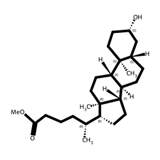 COC(=O)CCC[C@@H](C)[C@H]1CC[C@H]2[C@@H]3CC[C@H]4C[C@@H](O)CC[C@]4(C)[C@H]3CC[C@]12C